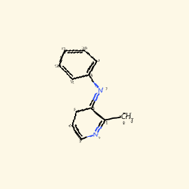 CC1=NC=CCC1=Nc1ccccc1